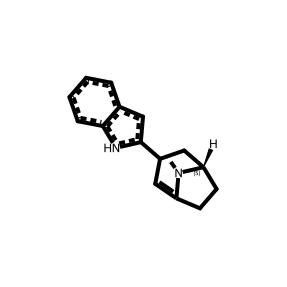 CN1C2=CC(c3cc4ccccc4[nH]3)C[C@@H]1CC2